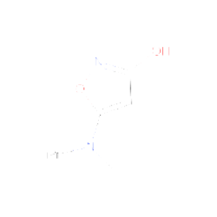 CC(C)N(C)c1cc(O)no1